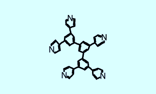 c1cc(-c2cc(-c3ccncc3)cc(-c3cc(-c4ccncc4)cc(-c4cc(-c5ccncc5)cc(-c5ccncc5)c4)c3)c2)ccn1